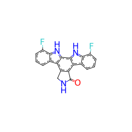 O=C1NCc2c1c1c3cccc(F)c3[nH]c1c1[nH]c3c(F)cccc3c21